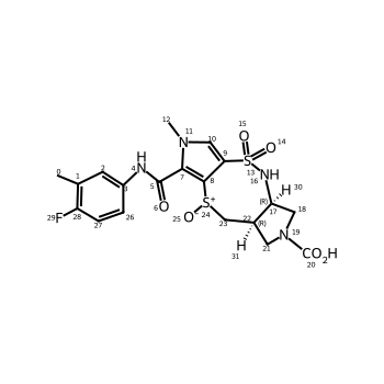 Cc1cc(NC(=O)c2c3c(cn2C)S(=O)(=O)N[C@H]2CN(C(=O)O)C[C@H]2C[S+]3[O-])ccc1F